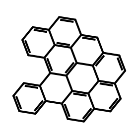 c1ccc2c(c1)c1ccc3ccc4ccc5cc6ccc7cccc8c7c6c6c5c4c3c1c6c28